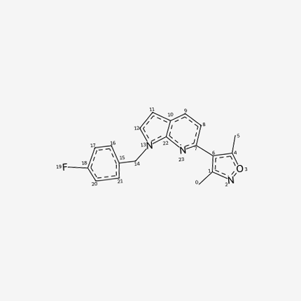 Cc1noc(C)c1-c1ccc2ccn(Cc3ccc(F)cc3)c2n1